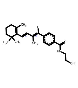 CC1=C(/C=C/C(C)=C(\F)c2ccc(C(=O)NCCO)cc2)C(C)(C)CCC1